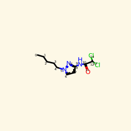 CCCCCn1ccc(NC(=O)C(Cl)Cl)n1